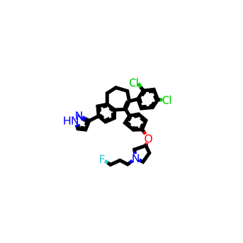 FCCCN1CCC(Oc2ccc(C3=C(c4ccc(Cl)cc4Cl)CCCc4cc(-c5cc[nH]n5)ccc43)cc2)C1